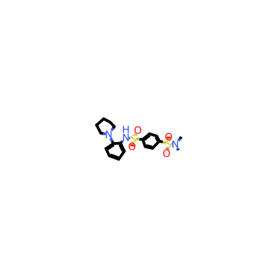 CN(C)S(=O)(=O)c1ccc(S(=O)(=O)Nc2ccccc2N2CCCCC2)cc1